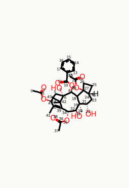 CC(=O)O[C@H]1C[C@@]2(O)[C@@H](OC(=O)c3ccccc3)C3[C@@](C)([C@@H](O)C[C@H]4CC[C@@]34OC(C)=O)[C@@H](O)[C@H](OC(C)=O)C(=C1C)C2(C)C